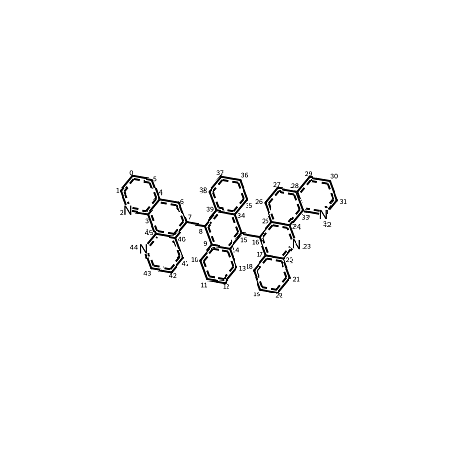 c1cnc2c(c1)cc(-c1c3ccccc3c(-c3c4ccccc4nc4c3ccc3cccnc34)c3ccccc13)c1cccnc12